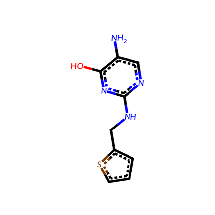 Nc1cnc(NCc2cccs2)nc1O